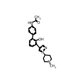 CC(=O)Nc1ccc(-c2cccc(-c3cnn(C4CCN(C)CC4)c3)c2O)cc1